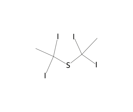 CC(I)(I)SC(C)(I)I